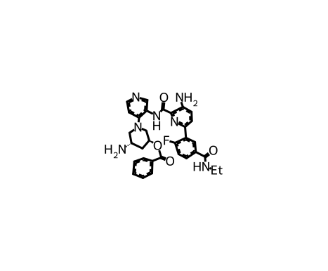 CCNC(=O)c1ccc(F)c(-c2ccc(N)c(C(=O)Nc3cnccc3N3C[C@@H](N)C[C@H](OC(=O)c4ccccc4)C3)n2)c1